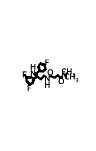 CN(C)C(=O)CCC(=O)NCCc1c(-c2ccc(F)cc2)[nH]c2c(F)cc(F)cc12